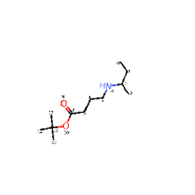 CCC(C)NCCCC(=O)OC(C)(C)C